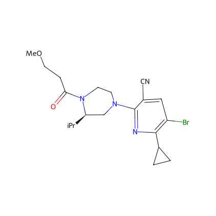 COCCC(=O)N1CCN(c2nc(C3CC3)c(Br)cc2C#N)C[C@H]1C(C)C